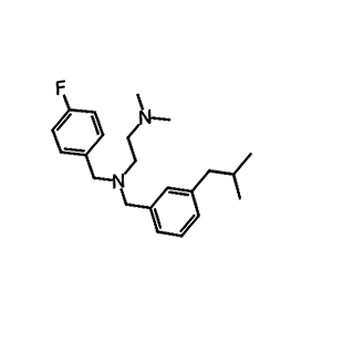 CC(C)Cc1cccc(CN(CCN(C)C)Cc2ccc(F)cc2)c1